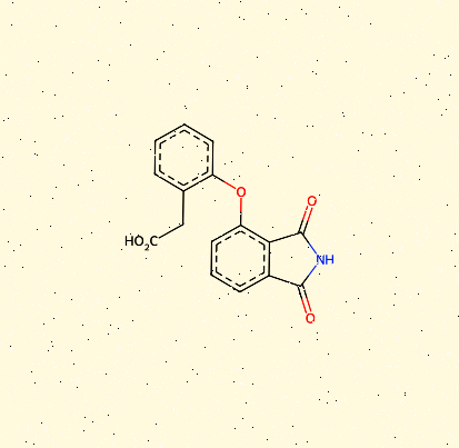 O=C(O)Cc1ccccc1Oc1cccc2c1C(=O)NC2=O